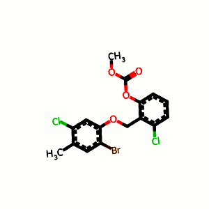 COC(=O)Oc1cccc(Cl)c1COc1cc(Cl)c(C)cc1Br